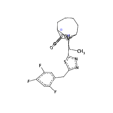 CCN1C(=O)/C2=C(\O)C(=O)/C(c3nnc(Cc4cc(F)c(F)cc4F)s3)=C\C1CCCC2